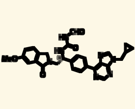 COc1ccc2c(c1)C(=O)N(C[C@H](NC(=O)NC=O)c1ccc(-c3ncnc4c3ncn4CC3CC3)cc1)C2